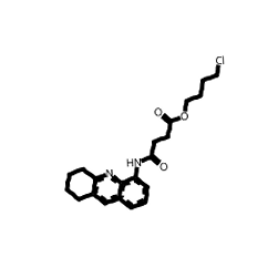 O=C(CCC(=O)OCCCCCl)Nc1cccc2cc3c(nc12)CCCC3